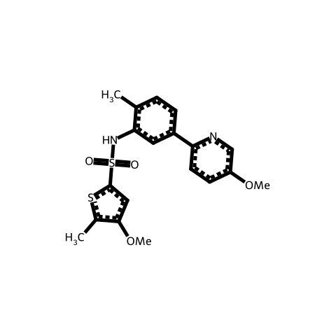 COc1ccc(-c2ccc(C)c(NS(=O)(=O)c3cc(OC)c(C)s3)c2)nc1